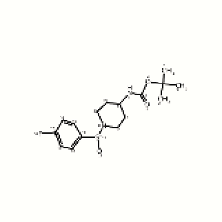 CC(C)(C)OC(=O)NC1CCN([S+]([O-])c2ccc(F)cc2)CC1